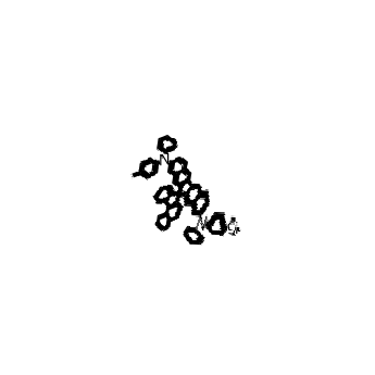 Cc1ccc(N(c2ccccc2)c2ccc3cc4c(cc3c2)C2(c3cc5cc(N(c6ccccc6)c6ccc([Si](C)(C)C)cc6)ccc5cc3-4)c3ccccc3-c3c2ccc2ccccc32)cc1